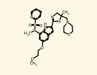 COCCOc1cc(N(C)S(=O)(=O)c2ccccn2)c2[nH]c(C3=NCC(C)(CN4CCSCC4)S3)cc2c1